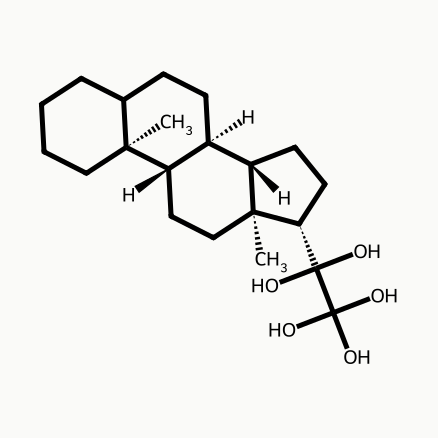 C[C@]12CC[C@H]3[C@@H](CCC4CCCC[C@@]43C)[C@@H]1CC[C@@H]2C(O)(O)C(O)(O)O